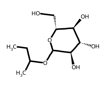 CCC(C)OC1O[C@H](CO)[C@@H](O)[C@H](O)[C@H]1O